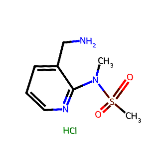 CN(c1ncccc1CN)S(C)(=O)=O.Cl